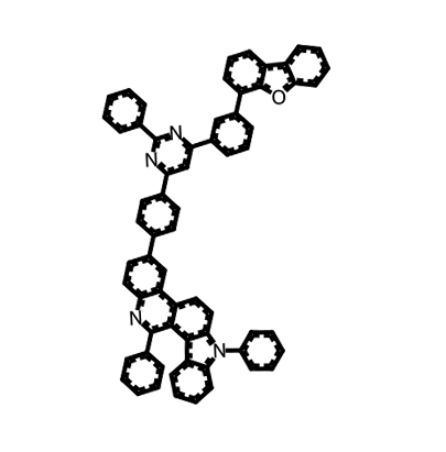 c1ccc(-c2nc(-c3ccc(-c4ccc5nc(-c6ccccc6)c6c(ccc7c6c6ccccc6n7-c6ccccc6)c5c4)cc3)cc(-c3cccc(-c4cccc5c4oc4ccccc45)c3)n2)cc1